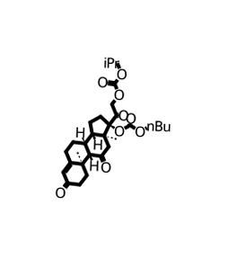 CCCCOC(=O)O[C@]1(C(=O)COC(=O)OC(C)C)CC[C@H]2[C@@H]3CCC4=CC(=O)CC[C@]4(C)[C@H]3C(=O)C[C@@]21C